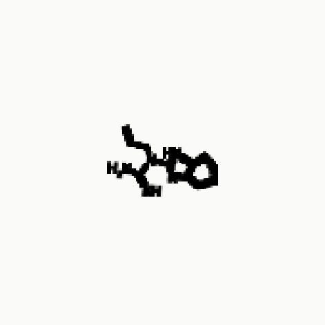 C=CCN(C(=N)N)c1nc2ccccc2[nH]1